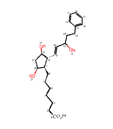 O=C(O)CCCCCC[C@@H]1[C@@H](C=CC(O)CCc2ccccc2)[C@H](O)C[C@@H]1O